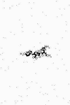 CO/N=C(\C(=O)NC1C(=O)N2C(C(=O)[O-])=C(Cn3cn[n+]4nc(C)ccc34)CS[C@H]12)c1nsc(N)n1